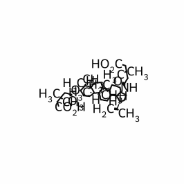 C=C(C)[C@@H]1CC[C@]2(NC(=O)CC(C)(C)CC(=O)O)CC[C@]3(C)[C@H](CC[C@@H]4[C@@]5(C)CC[C@H](OC(=O)CC(C)(C)CC(=O)O)C(C)(C)[C@@H]5CC[C@]43C)[C@@H]12